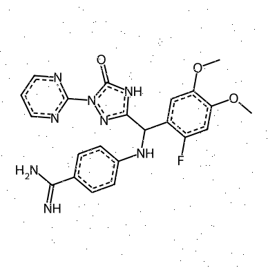 COc1cc(F)c(C(Nc2ccc(C(=N)N)cc2)c2nn(-c3ncccn3)c(=O)[nH]2)cc1OC